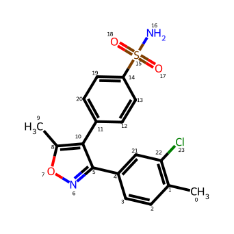 Cc1ccc(-c2noc(C)c2-c2ccc(S(N)(=O)=O)cc2)cc1Cl